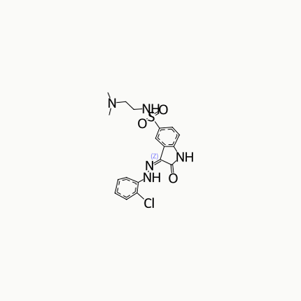 CN(C)CCNS(=O)(=O)c1ccc2c(c1)/C(=N/Nc1ccccc1Cl)C(=O)N2